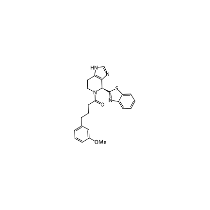 COc1cccc(CCCC(=O)N2CCc3[nH]cnc3[C@H]2c2nc3ccccc3s2)c1